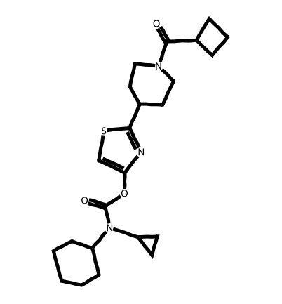 O=C(C1CCC1)N1CCC(c2nc(OC(=O)N(C3CCCCC3)C3CC3)cs2)CC1